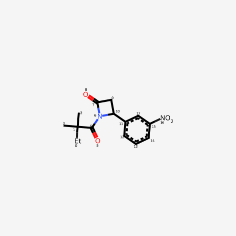 CCC(C)(C)C(=O)N1C(=O)CC1c1cccc([N+](=O)[O-])c1